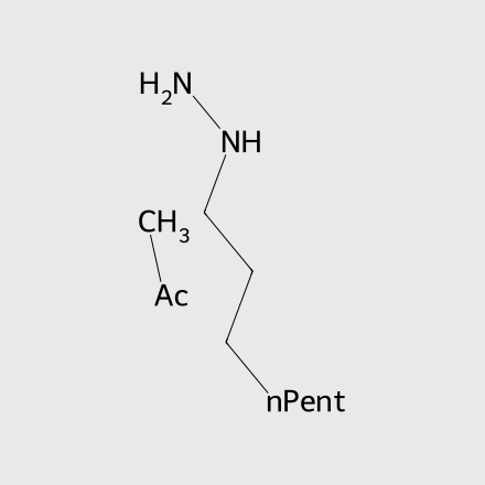 CC(C)=O.CCCCCCCCNN